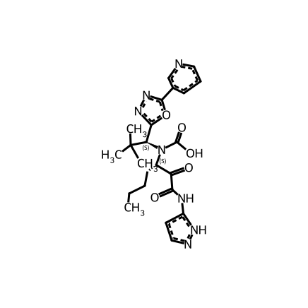 CCCC[C@@H](C(=O)C(=O)Nc1ccn[nH]1)N(C(=O)O)[C@H](c1nnc(-c2cccnc2)o1)C(C)(C)C